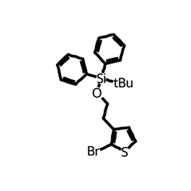 CC(C)(C)[Si](OCCc1ccsc1Br)(c1ccccc1)c1ccccc1